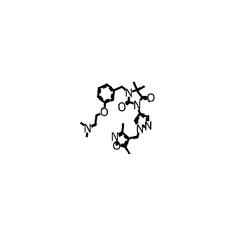 Cc1noc(C)c1Cn1cc(N2C(=O)N(Cc3cccc(OCCN(C)C)c3)C(C)(C)C2=O)cn1